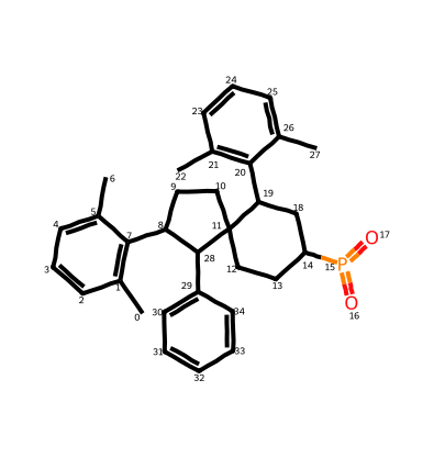 Cc1cccc(C)c1C1CCC2(CCC(P(=O)=O)CC2c2c(C)cccc2C)C1c1ccccc1